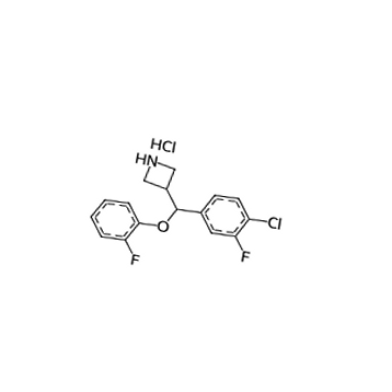 Cl.Fc1cc(C(Oc2ccccc2F)C2CNC2)ccc1Cl